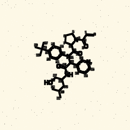 C=CC(=O)N1CCCC1C(=O)N(c1ccc(C(C)(C)C)cc1)C(C(=O)NC(CO)CC(C)C)c1cccnc1